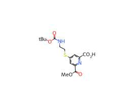 COC(=O)c1cc(SCCNC(=O)OC(C)(C)C)cc(C(=O)O)n1